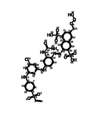 C=CS(=O)(=O)c1ccc(Nc2nc(Cl)nc(Nc3ccc(N=Nc4cc5c(S(=O)(=O)O)cc(SOOO)cc5cc4S(=O)(=O)O)c(NC(N)=O)c3)n2)cc1